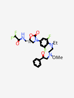 CCN(CCN(CC(=O)c1ccccc1)OC)c1c(F)cc(N2C[C@H](CNC(=O)C(F)F)OC2=O)cc1F